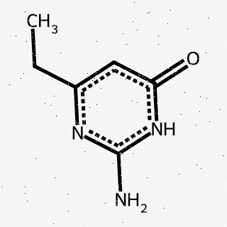 CCc1cc(=O)[nH]c(N)n1